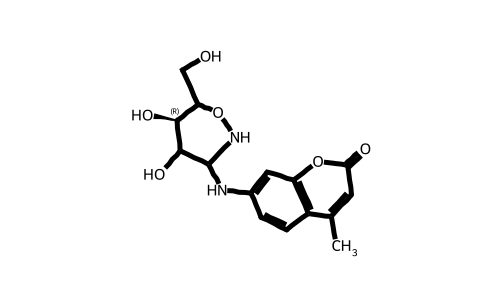 Cc1cc(=O)oc2cc(NC3NOC(CO)[C@H](O)C3O)ccc12